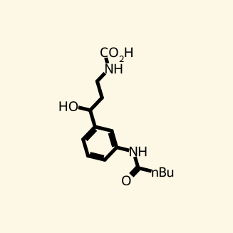 CCCCC(=O)Nc1cccc(C(O)CCNC(=O)O)c1